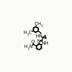 Cc1cc(C)cc(CNC2(c3nc4c(C(N)=O)cccc4[nH]3)CC2)c1